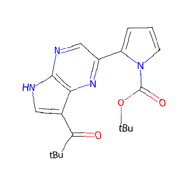 CC(C)(C)OC(=O)n1cccc1-c1cnc2[nH]cc(C(=O)C(C)(C)C)c2n1